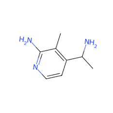 Cc1c(C(C)N)ccnc1N